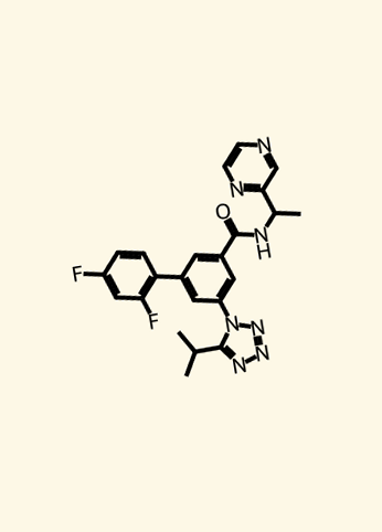 CC(C)c1nnnn1-c1cc(C(=O)NC(C)c2cnccn2)cc(-c2ccc(F)cc2F)c1